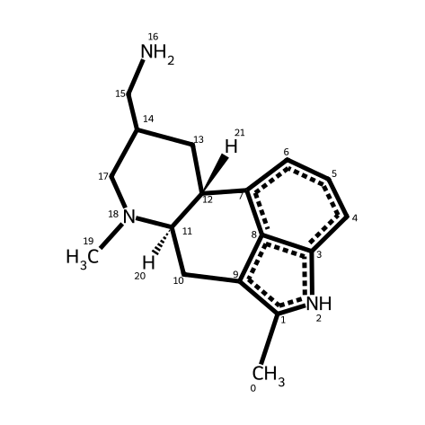 Cc1[nH]c2cccc3c2c1C[C@@H]1[C@@H]3CC(CN)CN1C